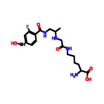 CC(CNC(=O)c1ccc(BO)cc1F)NCC(=O)NCCCCC(N)C(=O)O